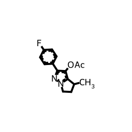 CC(=O)Oc1c(-c2ccc(F)cc2)nn2c1C(C)CC2